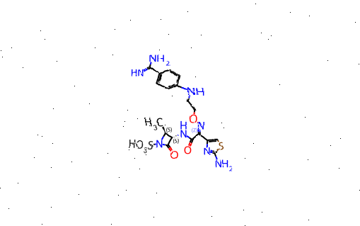 C[C@H]1[C@H](NC(=O)/C(=N\OCCNc2ccc(C(=N)N)cc2)c2csc(N)n2)C(=O)N1S(=O)(=O)O